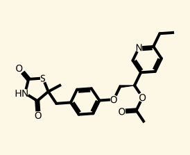 CCc1ccc([C@H](COc2ccc(CC3(C)SC(=O)NC3=O)cc2)OC(C)=O)cn1